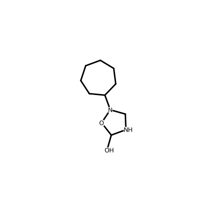 OC1NCN(C2CCCCCC2)O1